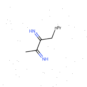 CCCCC(=N)C(C)=N